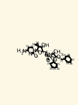 C[C@H](NP(=O)(OC[C@H]1O[C@@H](n2ccc(N)nc2=O)C2(CC2)[C@@H]1O)Oc1ccccc1)C(=O)OCc1ccccc1